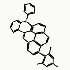 Cc1cc(C)c(-c2ccc3cc4c5c(ccc6ccc2c3c65)B(c2ccccc2)c2ccccc2-4)c(C)c1